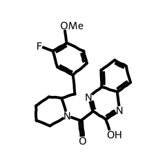 COc1ccc(CC2CCCCN2C(=O)c2nc3ccccc3nc2O)cc1F